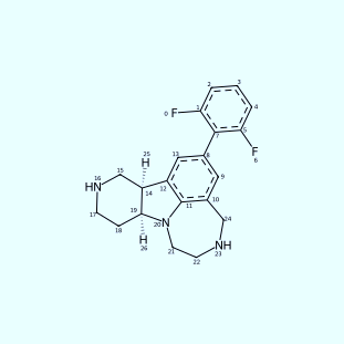 Fc1cccc(F)c1-c1cc2c3c(c1)[C@@H]1CNCC[C@@H]1N3CCNC2